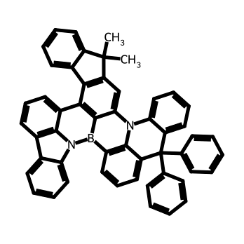 CC1(C)c2ccccc2-c2c1cc1c3c2-c2cccc4c5ccccc5n(c24)B3c2cccc3c2N1c1ccccc1C3(c1ccccc1)c1ccccc1